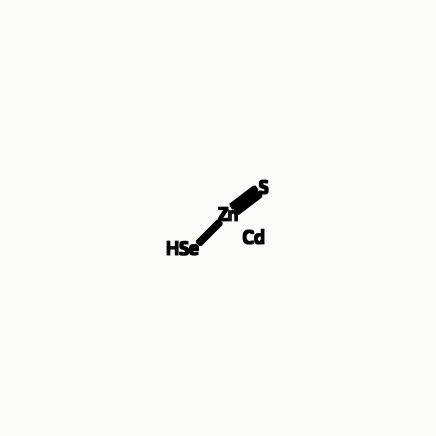 [Cd].[S]=[Zn][SeH]